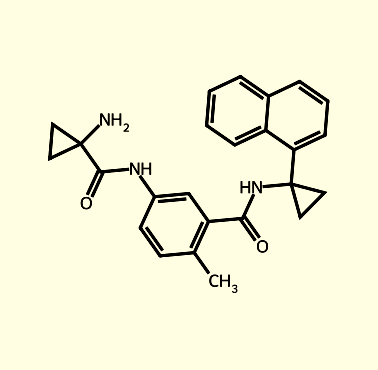 Cc1ccc(NC(=O)C2(N)CC2)cc1C(=O)NC1(c2cccc3ccccc23)CC1